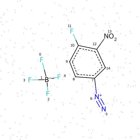 F[B-](F)(F)F.N#[N+]c1ccc(F)c([N+](=O)[O-])c1